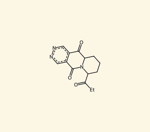 CCC(=O)C1CCCC2C(=O)c3cnncc3C(=O)N12